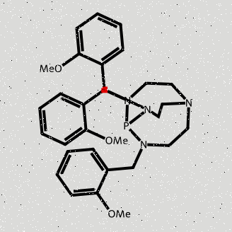 COc1ccccc1CN1CCN2CCN(Cc3ccccc3OC)P1N(Cc1ccccc1OC)CC2